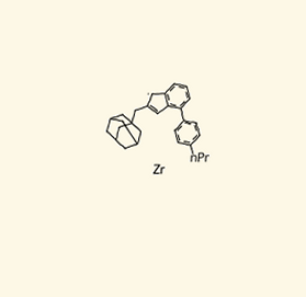 CCCc1ccc(-c2cccc3c2C=C(CC24CC5CC(CC(C5)C2)C4)[CH]3)cc1.[Zr]